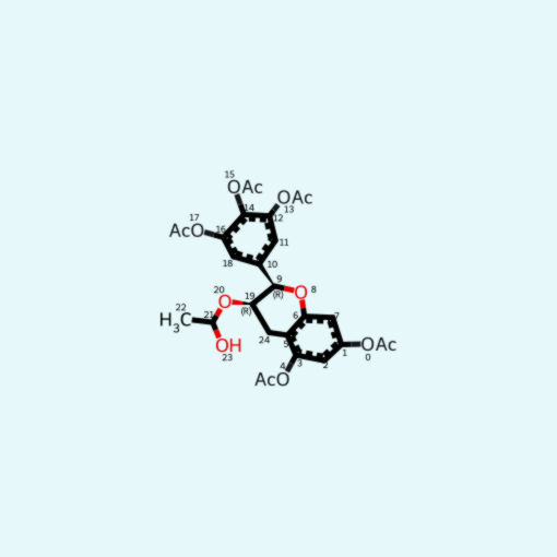 CC(=O)Oc1cc(OC(C)=O)c2c(c1)O[C@H](c1cc(OC(C)=O)c(OC(C)=O)c(OC(C)=O)c1)[C@H](OC(C)O)C2